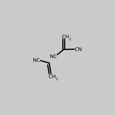 C=C(C#N)C#N.C=CC#N